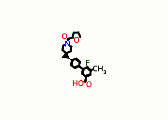 Cc1cc(C(=O)O)cc(-c2ccc([C@@H]3CC34CCN(C(=O)C3CCCO3)CC4)cc2)c1F